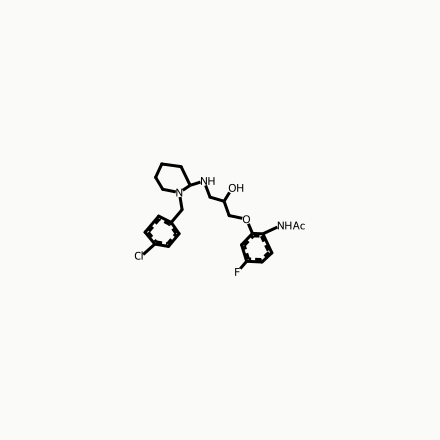 CC(=O)Nc1ccc(F)cc1OCC(O)CNC1CCCCN1Cc1ccc(Cl)cc1